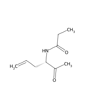 C=CC[C@H](NC(=O)CC)C(C)=O